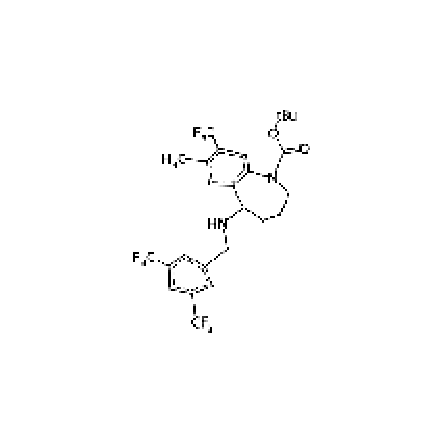 Cc1cc2c(cc1C(F)(F)F)N(C(=O)OC(C)(C)C)CCCC2NCc1cc(C(F)(F)F)cc(C(F)(F)F)c1